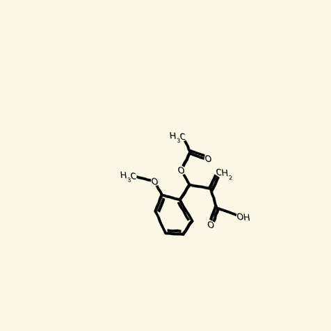 C=C(C(=O)O)C(OC(C)=O)c1ccccc1OC